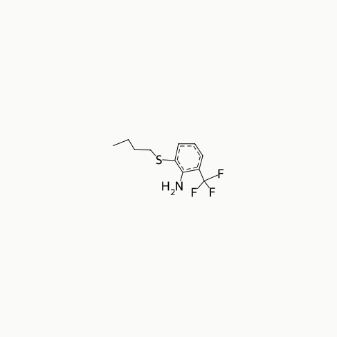 CCCCSc1cccc(C(F)(F)F)c1N